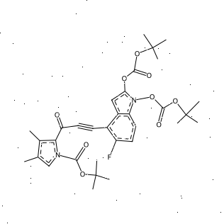 Cc1cn(C(=O)OC(C)(C)C)c(C(=O)C#Cc2c(F)ccc3c2cc(OC(=O)OC(C)(C)C)n3OC(=O)OC(C)(C)C)c1C